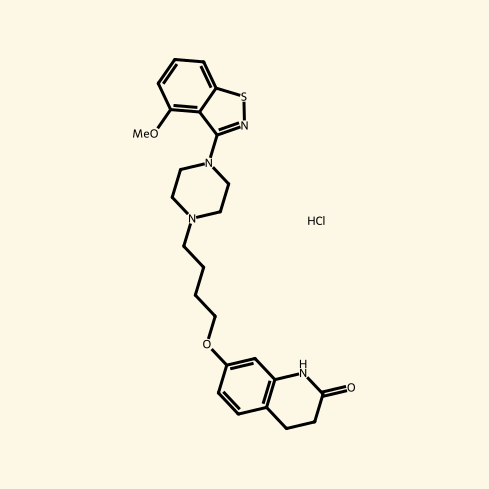 COc1cccc2snc(N3CCN(CCCCOc4ccc5c(c4)NC(=O)CC5)CC3)c12.Cl